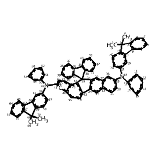 CC1(C)c2ccccc2-c2cc(N(c3ccccc3)c3ccc4cc5c(cc4c3)C3(c4ccccc4-c4ccccc43)c3c-5ccc4cc(N(c5ccccc5)c5ccc6c(c5)-c5ccccc5C6(C)C)ccc34)ccc21